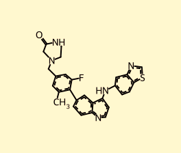 Cc1cc(CN2CCNC(=O)C2)cc(F)c1-c1ccc2nccc(Nc3ccc4scnc4c3)c2c1